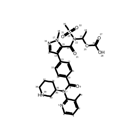 Cc1cccnc1N(C(=O)c1ccc(-c2cnn(C)c2C(=O)N(C(C)OC(=O)O)S(C)(=O)=O)cc1)[C@@H]1CCCNC1